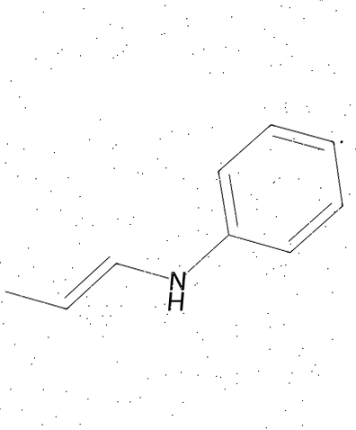 CC=CNc1cc[c]cc1